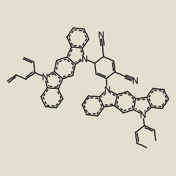 C=C/C=C(\C=C)n1c2ccccc2c2cc3c(cc21)c1ccccc1n3C1C=C(n2c3ccccc3c3cc4c(cc32)c2ccccc2n4C(/C=C\C)=C/C)C(C#N)=CC1C#N